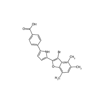 Cc1cc(C)c2oc(-c3ccc(-c4ccc(C(=O)O)cc4)[nH]3)c(Br)c2c1C